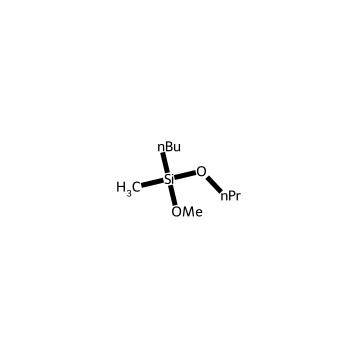 CCCC[Si](C)(OC)OCCC